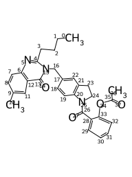 CCCCc1nc2ccc(C)cc2c(=O)n1Cc1ccc2c(c1)CCN2C(=O)c1ccccc1OC(C)=O